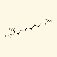 C=C(CCCCCCCCCCCCCCCCCCC)C(=O)OCC